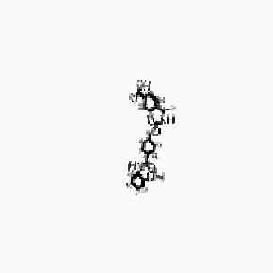 C[C@@H](NC(=O)OCc1ccc(C(=O)Nc2ccccc2O)cc1)c1ccc(C(=O)O)cc1